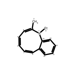 CCn1c(C)cccccc2ccccc21